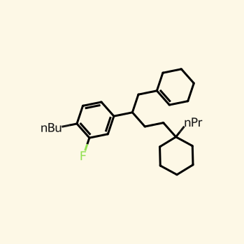 CCCCc1ccc(C(CCC2(CCC)CCCCC2)CC2=CCCCC2)cc1F